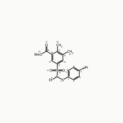 CCN(Sc1ccc(C(C)C)cc1)S(=O)(=O)c1cc(C)c(C)c(C(=O)OC)c1